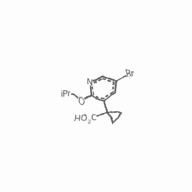 CC(C)Oc1ncc(Br)cc1C1(C(=O)O)CC1